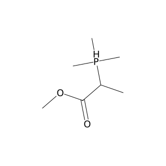 COC(=O)C(C)[PH](C)(C)C